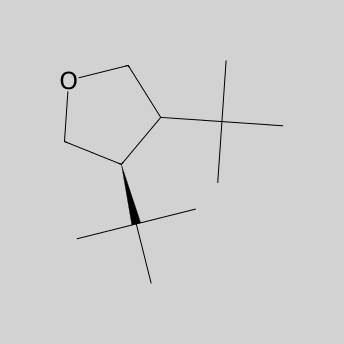 CC(C)(C)C1COC[C@@H]1C(C)(C)C